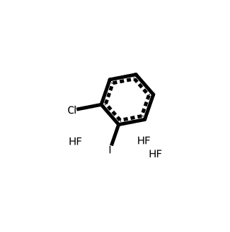 Clc1ccccc1I.F.F.F